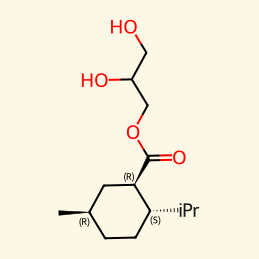 CC(C)[C@@H]1CC[C@@H](C)C[C@H]1C(=O)OCC(O)CO